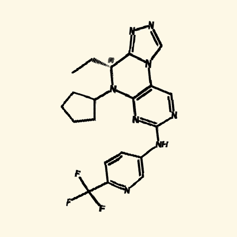 CC[C@@H]1c2nncn2-c2cnc(Nc3ccc(C(F)(F)F)nc3)nc2N1C1CCCC1